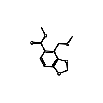 COC(=O)c1ccc2c(c1CSC)OCO2